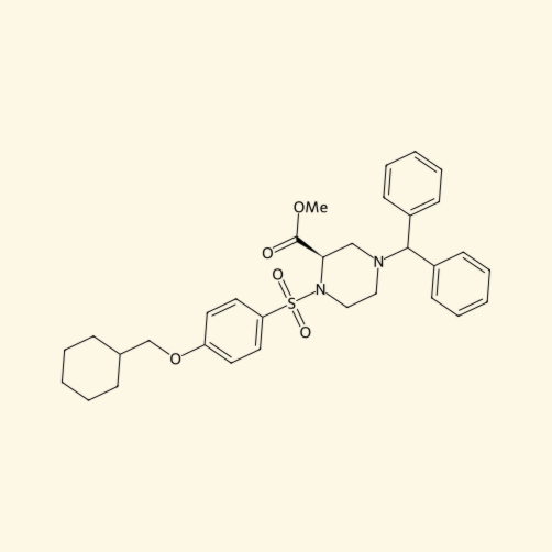 COC(=O)[C@H]1CN(C(c2ccccc2)c2ccccc2)CCN1S(=O)(=O)c1ccc(OCC2CCCCC2)cc1